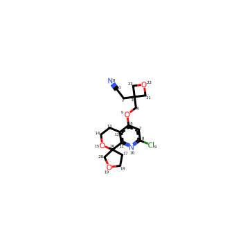 N#CCC1(COc2cc(Cl)nc3c2CCOC32CCOC2)COC1